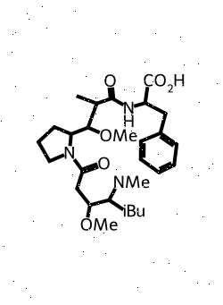 CCC(C)C(NC)C(CC(=O)N1CCCC1C(OC)C(C)C(=O)NC(Cc1ccccc1)C(=O)O)OC